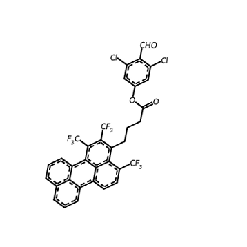 O=Cc1c(Cl)cc(OC(=O)CCCc2c(C(F)(F)F)c(C(F)(F)F)c3c4cccc5cccc(c6ccc(C(F)(F)F)c2c63)c54)cc1Cl